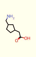 NCC1CCC(CC(=O)O)C1